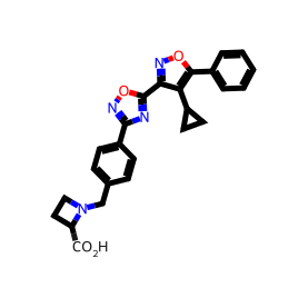 O=C(O)C1CCN1Cc1ccc(-c2noc(-c3noc(-c4ccccc4)c3C3CC3)n2)cc1